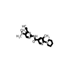 C#Cc1nc(NC(=O)c2cnc(N3CCCCC3)c(C)c2)ncc1N(C)C